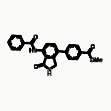 COC(=O)c1ccc(-c2ccc(NC(=O)c3ccccc3)c3c2CNC3=O)cc1